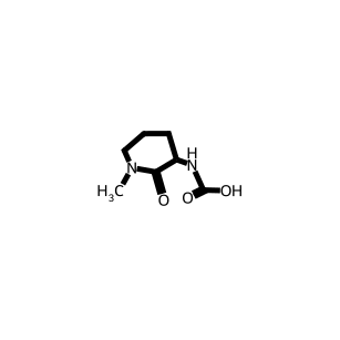 CN1CCCC(NC(=O)O)C1=O